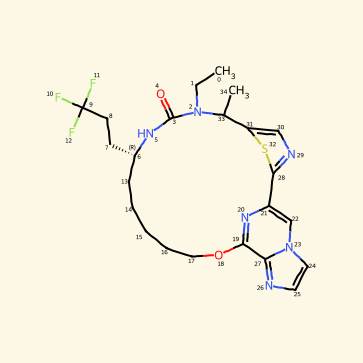 CCN1C(=O)N[C@@H](CCC(F)(F)F)CCCCCOc2nc(cn3ccnc23)-c2ncc(s2)C1C